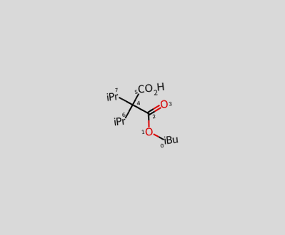 CCC(C)OC(=O)C(C(=O)O)(C(C)C)C(C)C